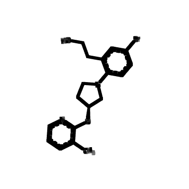 Cc1cccnc1O[C@H]1CCN(c2ccc(Br)cc2CCO)C1